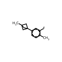 Cc1ccc(C23CC(C)(C2)C3)cc1F